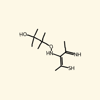 CC(=N)/C(NOC(C)(C)C(C)(C)O)=C(/C)S